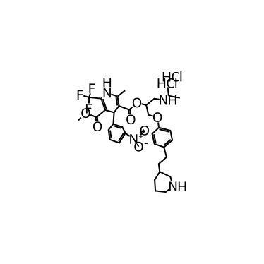 COC(=O)C1=C(C(F)(F)F)NC(C)=C(C(=O)OC(CNC(C)C)COc2ccc(CCC3CCCNC3)cc2)C1c1cccc([N+](=O)[O-])c1.Cl.Cl